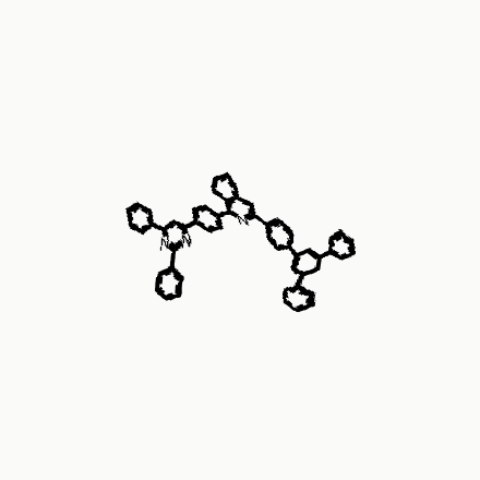 C1=C(c2ccc(-c3cc4ccccc4c(-c4ccc(-c5cc(-c6ccccc6)nc(-c6ccccc6)n5)cc4)n3)cc2)C=C(c2ccccc2)CC1c1ccccc1